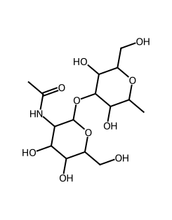 CC(=O)NC1C(OC2C(O)C(C)OC(CO)C2O)OC(CO)C(O)C1O